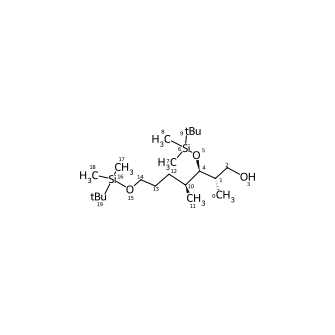 C[C@@H](CO)[C@H](O[Si](C)(C)C(C)(C)C)[C@@H](C)CCCO[Si](C)(C)C(C)(C)C